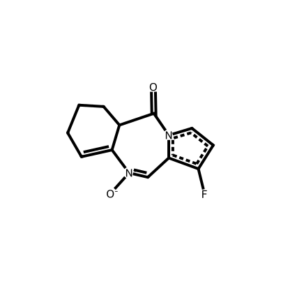 O=C1C2CCCC=C2[N+]([O-])=Cc2c(F)ccn21